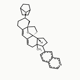 CC12CC=C3C=C4CC[C@@H](N5C6CCC5CC6)C[C@]45CC[C@]3(O5)[C@@H]1CCC2c1ccc2ccncc2c1